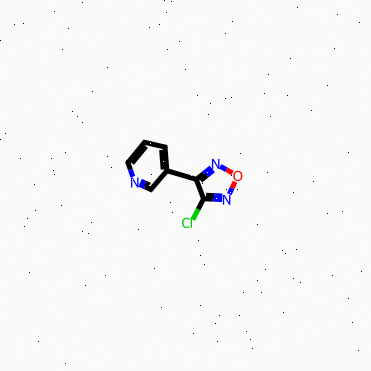 Clc1nonc1-c1cccnc1